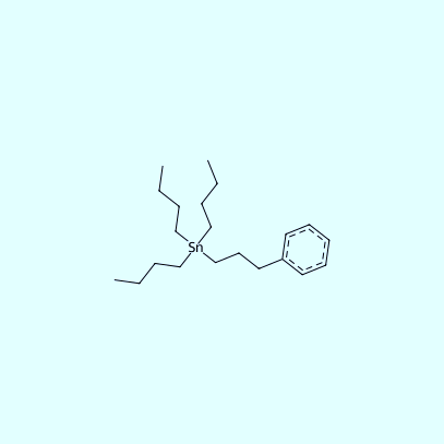 CCC[CH2][Sn]([CH2]CCC)([CH2]CCC)[CH2]CCc1ccccc1